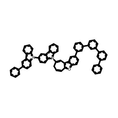 C1=Cc2oc3ccc(-c4cccc(-c5cccc(-c6cccc(-c7ccccc7)c6)c5)c4)cc3c2C=C(n2c3ccccc3c3cc(-n4c5ccccc5c5cc(-c6ccccc6)ccc54)ccc32)C1